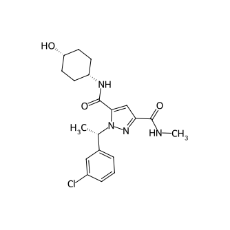 CNC(=O)c1cc(C(=O)N[C@H]2CC[C@@H](O)CC2)n([C@@H](C)c2cccc(Cl)c2)n1